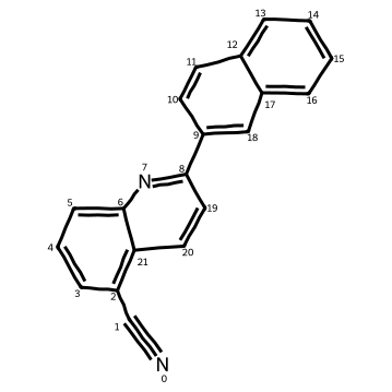 N#Cc1cccc2nc(-c3ccc4ccccc4c3)ccc12